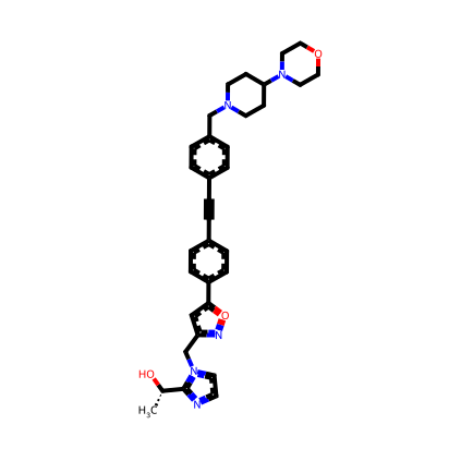 C[C@H](O)c1nccn1Cc1cc(-c2ccc(C#Cc3ccc(CN4CCC(N5CCOCC5)CC4)cc3)cc2)on1